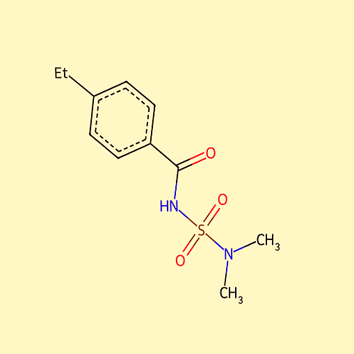 CCc1ccc(C(=O)NS(=O)(=O)N(C)C)cc1